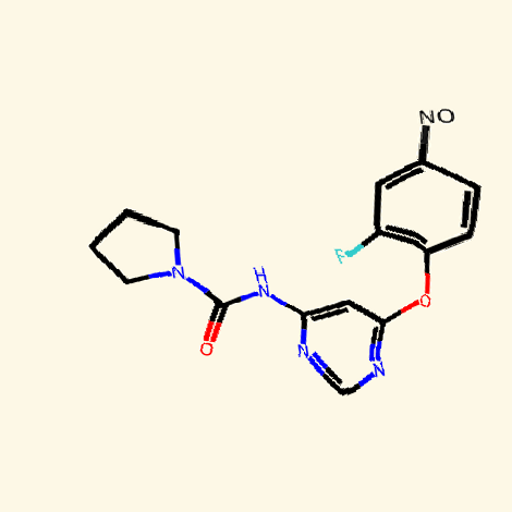 O=Nc1ccc(Oc2cc(NC(=O)N3CCCC3)ncn2)c(F)c1